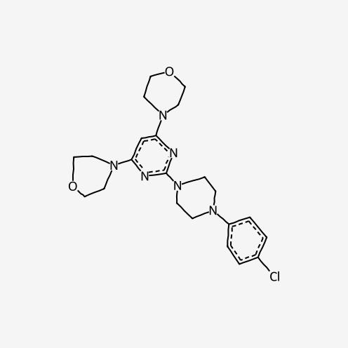 Clc1ccc(N2CCN(c3nc(N4CCOCC4)cc(N4CCOCC4)n3)CC2)cc1